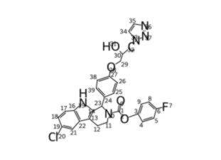 O=C(Oc1ccc(F)cc1)N1CCc2c([nH]c3ccc(Cl)cc23)C1c1ccc(OCC(O)Cn2ccnn2)cc1